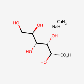 O=C(O)[C@H](O)[C@@H](O)[C@H](O)[C@H](O)CO.[CaH2].[NaH]